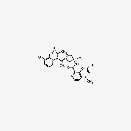 COc1ccnc(C(=O)N[C@](C)(C=O)CO[C@@H](C)[C@H](c2cccc(C)c2C)C(C)C)c1OC(C)=O